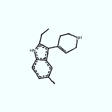 CCc1[nH]c2ccc(C)cc2c1C1=CCNCC1